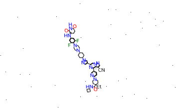 CCC1(C(=O)NC2CCC2)CCN(c2ccc(-c3nc(-c4cnn(C5CCC(N6CCN(c7c(F)cc(N[C@@H]8CCC(=O)NC8=O)cc7F)CC6)CC5)c4)cn4ncc(C#N)c34)cn2)CC1